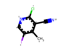 Cc1c(I)cnc(Cl)c1C#N